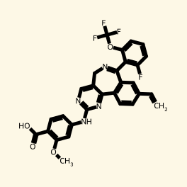 C=Cc1ccc2c(c1)C(c1c(F)cccc1OC(F)(F)F)=NCc1cnc(Nc3ccc(C(=O)O)c(OC)c3)nc1-2